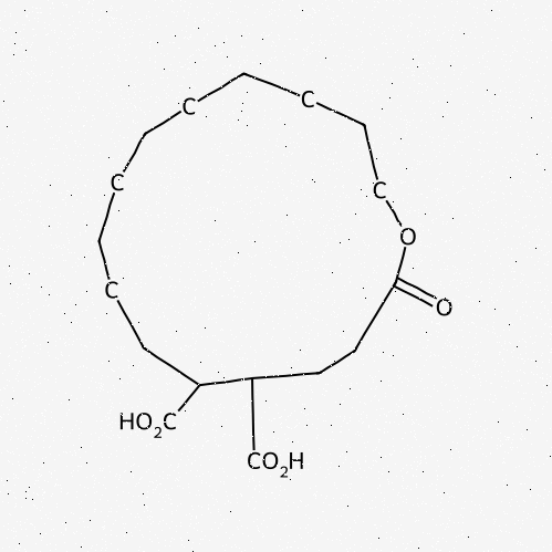 O=C1CCC(C(=O)O)C(C(=O)O)CCCCCCCCCCO1